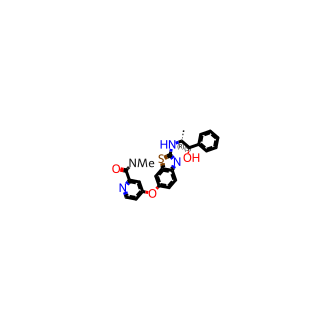 CNC(=O)c1cc(Oc2ccc3nc(N[C@H](C)[C@@H](O)c4ccccc4)sc3c2)ccn1